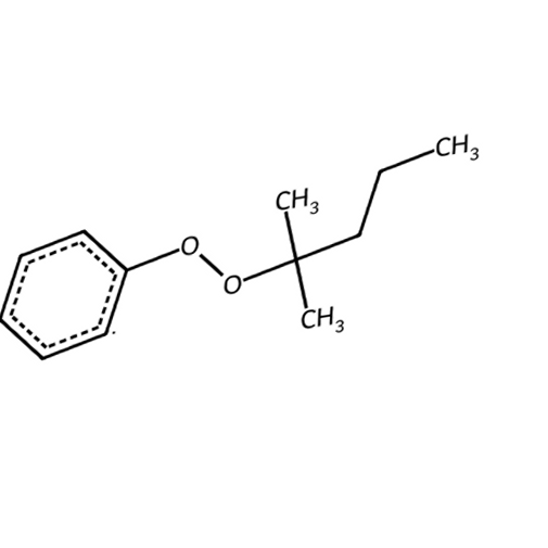 CCCC(C)(C)OOc1[c]cccc1